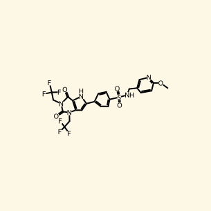 COc1ccc(CNS(=O)(=O)c2ccc(-c3cc4c([nH]3)c(=O)n(CC(F)(F)F)c(=O)n4CC(F)(F)F)cc2)cn1